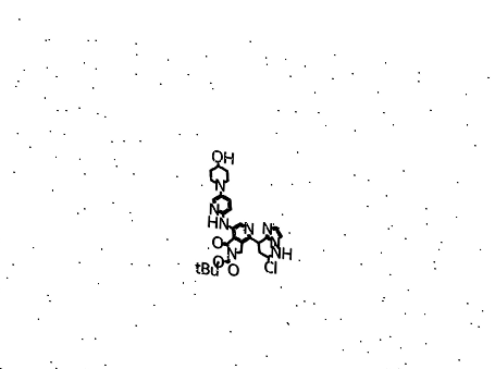 CC(C)(C)OC(=O)N1Cc2c(C3CC(Cl)Nn4ccnc43)ncc(Nc3ccc(N4CCC(O)CC4)cn3)c2C1=O